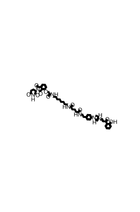 O=C(CCCC(=O)NCCc1ccc(N2C[C@@H]3C[C@H]2CN3/C=C/C(=O)c2ccccc2O)cc1)NCCCCCCCCNC(=O)COc1cccc2c1C(=O)N(C1CCC(=O)NC1=O)C2=O